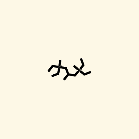 CC[N+](C)(CC)CC(C)C[N+](C)(CC)CC